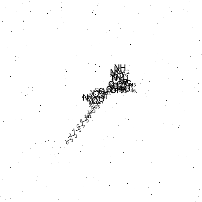 CCCCCCCCCCCCCCCCCCOC[C@H](COP(=O)(O)OC[C@@]1(C)O[C@@H](c2ccc3c(N)ncnn23)[C@@H]2OC(C)(C)O[C@@H]21)Oc1ccc(C#N)c(OC(C)C)c1